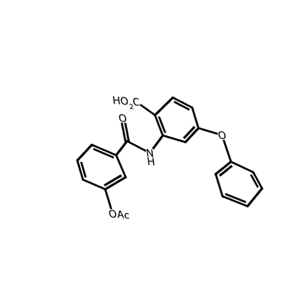 CC(=O)Oc1cccc(C(=O)Nc2cc(Oc3ccccc3)ccc2C(=O)O)c1